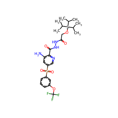 CC(C)[Si](OCC(=O)NNC(=O)c1ncc(S(=O)(=O)c2cccc(OC(F)(F)F)c2)cc1N)(C(C)C)C(C)C